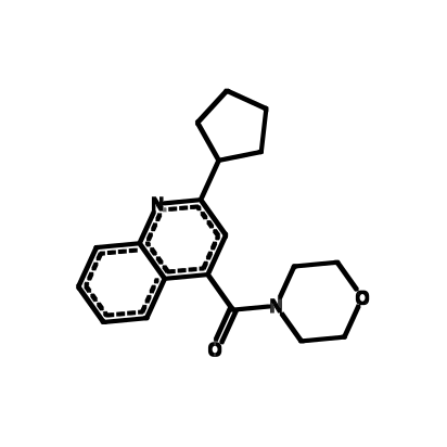 O=C(c1cc(C2CCCC2)nc2ccccc12)N1CCOCC1